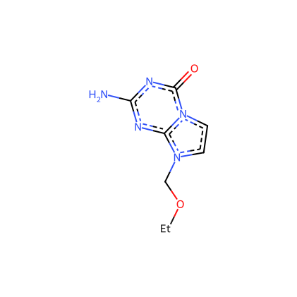 CCOCn1ccn2c(=O)nc(N)nc12